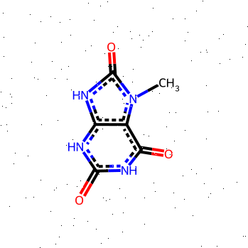 Cn1c(=O)[nH]c2[nH]c(=O)[nH]c(=O)c21